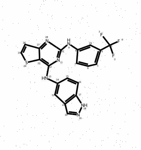 FC(F)(F)c1cccc(Nc2nc(Nc3ccc4[nH]ncc4c3)c3sccc3n2)c1